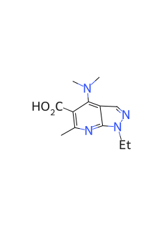 CCn1ncc2c(N(C)C)c(C(=O)O)c(C)nc21